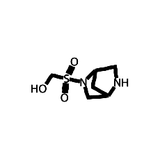 O=S(=O)(CO)N1CC2CC1CN2